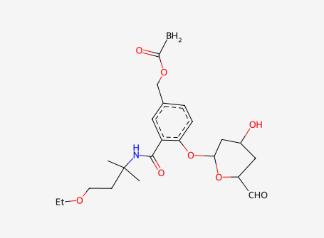 BC(=O)OCc1ccc(OC2CC(O)CC(C=O)O2)c(C(=O)NC(C)(C)CCOCC)c1